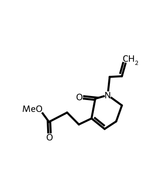 C=CCN1CCC=C(CCC(=O)OC)C1=O